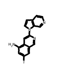 Nc1cc(I)cc2cnc(-n3ccc4ccncc43)cc12